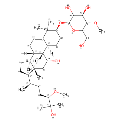 CO[C@@H]1C(CO)O[C@@H](O[C@H]2CC[C@@H]3C(=CC[C@@H]4[C@@]3(C)[C@H](O)C[C@]3(C)[C@@H]([C@H](C)CC[C@@H](OC)C(C)(C)O)CC[C@@]43C)C2(C)C)C(O)[C@H]1O